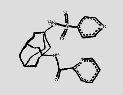 O=C(NC12CC3CC(C1)CC(NS(=O)(=O)c1ccncc1)(C3)C2)c1ccccn1